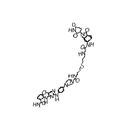 CNC(=O)c1ccccc1Nc1nc(Nc2ccc(N3CCN(C(=O)NCCCCOCCCCNCC(=O)Nc4ccc5c(c4)CN(C4CCC(=O)NC4=O)C5=O)CC3)cc2)ncc1Cl